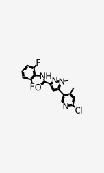 Cc1cc(Cl)ncc1-c1cc(C(=O)Nc2c(F)cccc2F)nn1C